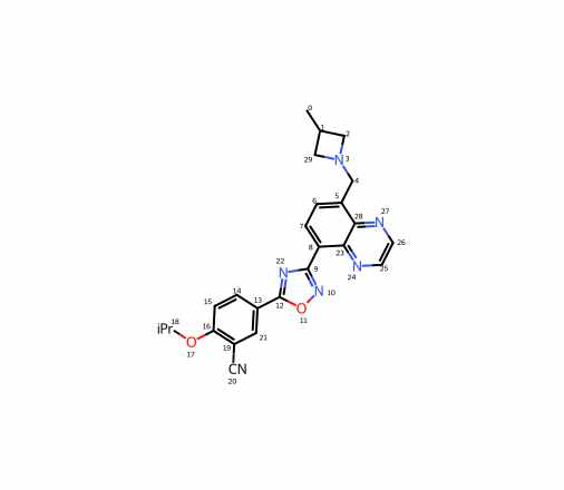 CC1CN(Cc2ccc(-c3noc(-c4ccc(OC(C)C)c(C#N)c4)n3)c3nccnc23)C1